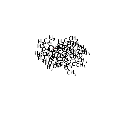 CCOC(=O)[C@H](C)Oc1c(Cl)ccc(P(=O)(c2cc(C(C)(C)C)c(OC)c(C(C)(C)C)c2)c2cc(C(C)(C)C)c(OC)c(C(C)(C)C)c2)c1-c1c(P(=O)(c2cc(C(C)(C)C)c(OC)c(C(C)(C)C)c2)c2cc(C(C)(C)C)c(OC)c(C(C)(C)C)c2)ccc(Cl)c1O